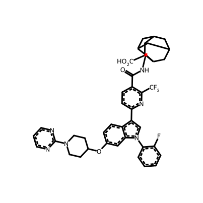 O=C(NC1(C(=O)O)C2CCC3CC(C2)CC1C3)c1ccc(-c2cn(-c3ccccc3F)c3cc(OC4CCN(c5ncccn5)CC4)ccc23)nc1C(F)(F)F